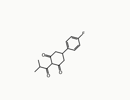 CC(C)C(=O)C1C(=O)CC(c2ccc(F)cc2)CC1=O